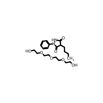 CCCCC1C(=O)NN(c2ccccc2)C1=O.OCCOCCOCCOCCO